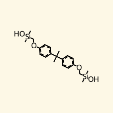 CC(C)(c1ccc(OC[Si](C)(C)O)cc1)c1ccc(OC[Si](C)(C)O)cc1